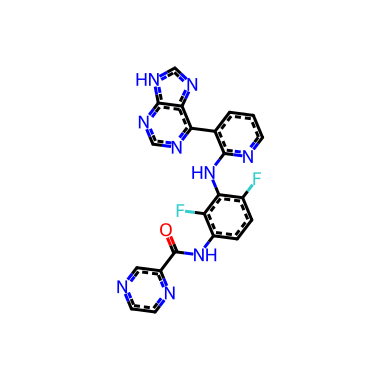 O=C(Nc1ccc(F)c(Nc2ncccc2-c2ncnc3[nH]cnc23)c1F)c1cnccn1